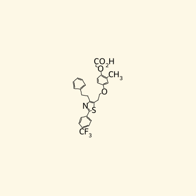 Cc1cc(OCCc2sc(-c3ccc(C(F)(F)F)cc3)nc2CCc2ccccc2)ccc1OCC(=O)O